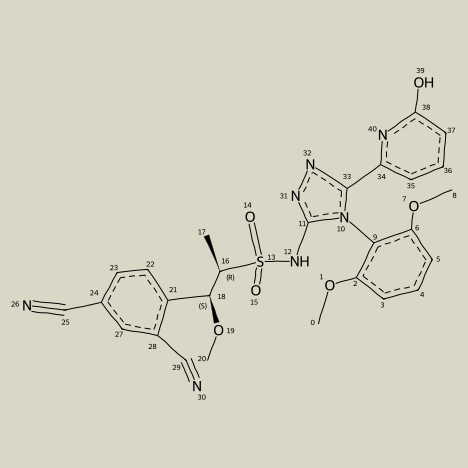 COc1cccc(OC)c1-n1c(NS(=O)(=O)[C@H](C)[C@@H](OC)c2ccc(C#N)cc2C#N)nnc1-c1cccc(O)n1